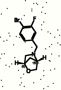 Fc1cc(CN2C[C@@H]3C[C@H]2CO3)ccc1Br